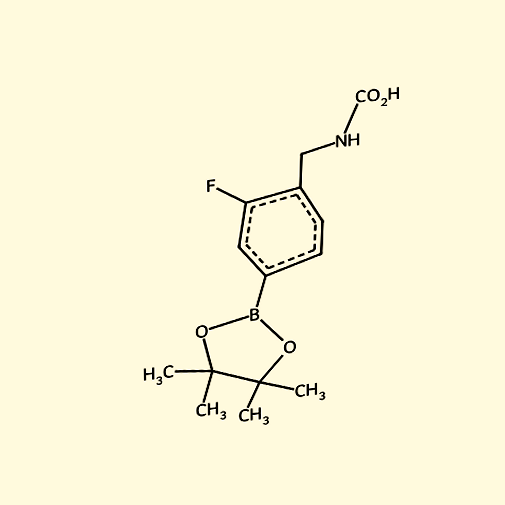 CC1(C)OB(c2ccc(CNC(=O)O)c(F)c2)OC1(C)C